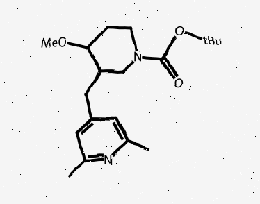 COC1CCN(C(=O)OC(C)(C)C)CC1Cc1cc(C)nc(C)c1